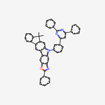 CC1(C)c2ccccc2-c2cc3c4cc5oc(-c6ccccc6)nc5cc4n(-c4cccc(-c5cc(-c6ccccc6)nc(-c6ccccc6)n5)c4)c3cc21